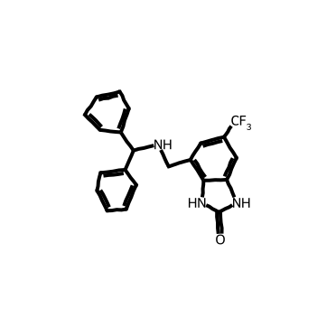 O=c1[nH]c2cc(C(F)(F)F)cc(CNC(c3ccccc3)c3ccccc3)c2[nH]1